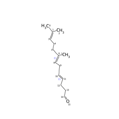 CC(C)=CCC/C(C)=C/C/C=C/CCC=O